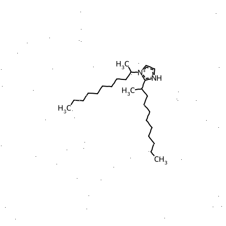 CCCCCCCCCC(C)c1[nH]cc[n+]1C(C)CCCCCCCCC